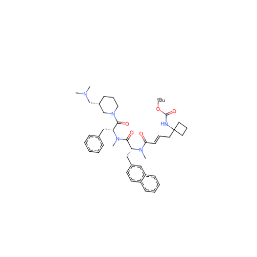 CN(C)C[C@@H]1CCCN(C(=O)[C@@H](Cc2ccccc2)N(C)C(=O)[C@@H](Cc2ccc3ccccc3c2)N(C)C(=O)C=CCC2(NC(=O)OC(C)(C)C)CCC2)C1